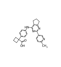 Cc1ccc(-c2nc3c(c(Nc4ccc(C5(C(=O)O)CCC5)cc4)n2)CCC3)cn1